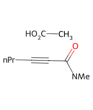 CC(=O)O.CCCC#CC(=O)NC